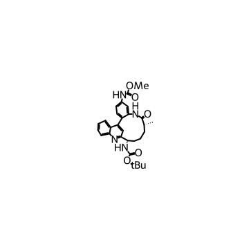 COC(=O)Nc1ccc2c(c1)NC(=O)[C@H](C)CCC[C@H](NC(=O)OC(C)(C)C)c1cc-2c2ccccc2n1